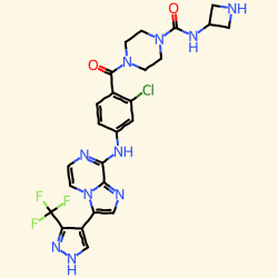 O=C(NC1CNC1)N1CCN(C(=O)c2ccc(Nc3nccn4c(-c5c[nH]nc5C(F)(F)F)cnc34)cc2Cl)CC1